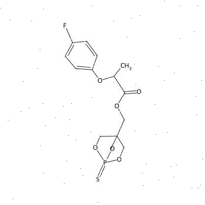 CC(Oc1ccc(F)cc1)C(=O)OCC12COP(=S)(OC1)OC2